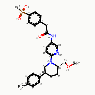 CCS(=O)(=O)c1ccc(CC(=O)Nc2ccc(N3CC(c4ccc(C(F)(F)F)cc4)CC[C@H]3COC(C)C)nc2)cc1